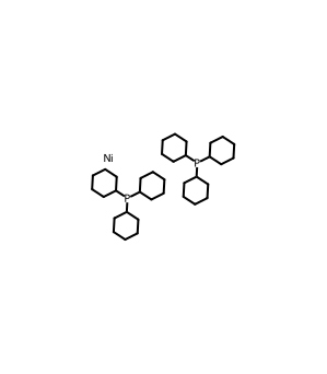 C1CCC(P(C2CCCCC2)C2CCCCC2)CC1.C1CCC(P(C2CCCCC2)C2CCCCC2)CC1.[Ni]